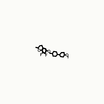 CC1CCc2cc(OCC3CCC(C4CCC(OI)CC4)CC3)c(F)c(F)c2O1